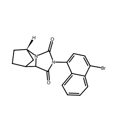 O=C1C2C3CC[C@@H](C3)N2C(=O)N1c1ccc(Br)c2ccccc12